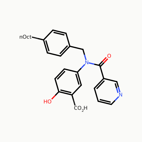 CCCCCCCCc1ccc(CN(C(=O)c2cccnc2)c2ccc(O)c(C(=O)O)c2)cc1